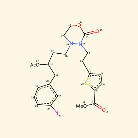 COC(=O)c1ccc(CCN2C(=O)OCCN2CCC(Cc2cccc(I)c2)OC(C)=O)s1